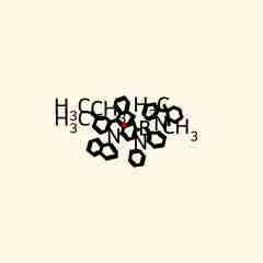 CC(C)(C)c1ccc(N(c2ccc3c(c2)N(c2ccccc2)c2cccc4c2B3c2cccc3c2N4C2(C)CCCCC32C)c2cccc3ccccc23)c(-c2cccc3ccccc23)c1